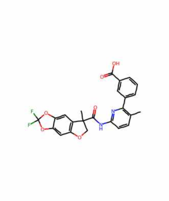 Cc1ccc(NC(=O)C2(C)COc3cc4c(cc32)OC(F)(F)O4)nc1-c1cccc(C(=O)O)c1